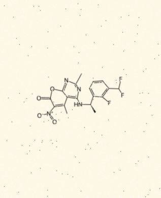 Cc1nc(N[C@H](C)c2cccc(C(F)F)c2F)c2c(C)c([N+](=O)[O-])c(=O)oc2n1